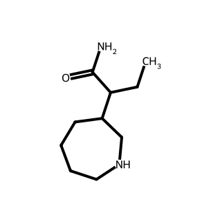 CCC(C(N)=O)C1CCCCNC1